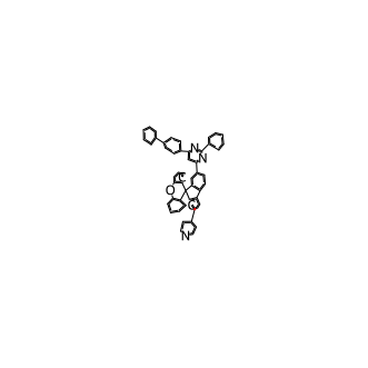 c1ccc(-c2ccc(-c3cc(-c4ccc5c(c4)C4(c6ccccc6Oc6ccccc64)c4cc(-c6ccncc6)ccc4-5)nc(-c4ccccc4)n3)cc2)cc1